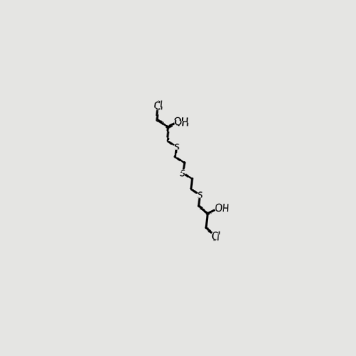 OC(CCl)CSCCSCCSCC(O)CCl